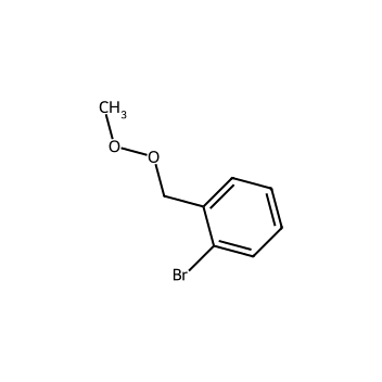 COOCc1ccccc1Br